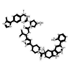 Cc1ncsc1-c1ccc([C@H](C)NC(=O)[C@@H]2C[C@@H](O)CN2C(=O)C[C@@H](c2cc(C3CCN(C(=O)[C@@]4(N)CCc5[nH]c6nnc(-c7ccccc7O)cc6c5C4)CC3)no2)C(C)C)cc1